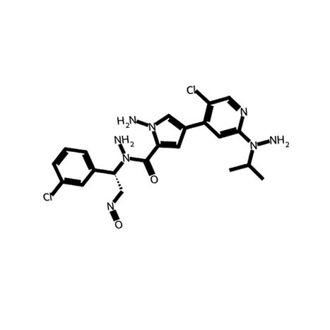 CC(C)N(N)c1cc(-c2cc(C(=O)N(N)[C@H](CN=O)c3cccc(Cl)c3)n(N)c2)c(Cl)cn1